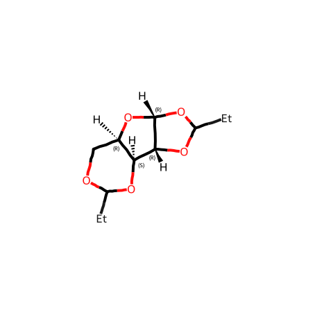 CCC1OC[C@H]2O[C@@H]3OC(CC)O[C@@H]3[C@H]2O1